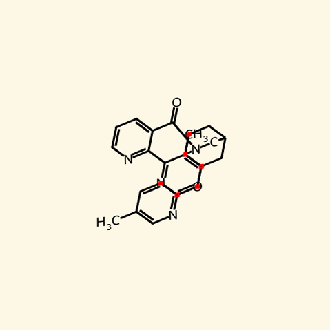 Cc1ccc(OC2CC3CCC2N(C(=O)c2cccnc2-c2ncccc2C)C3)nc1